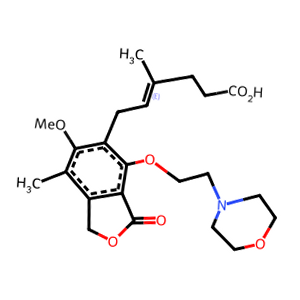 COc1c(C)c2c(c(OCCN3CCOCC3)c1C/C=C(\C)CCC(=O)O)C(=O)OC2